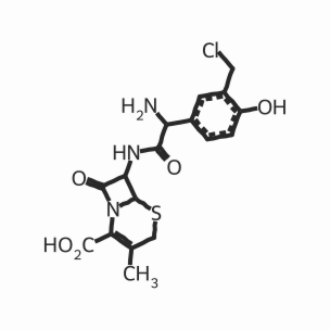 CC1=C(C(=O)O)N2C(=O)C(NC(=O)C(N)c3ccc(O)c(CCl)c3)C2SC1